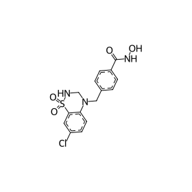 O=C(NO)c1ccc(CN2CNS(=O)(=O)c3cc(Cl)ccc32)cc1